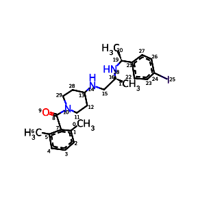 Cc1cccc(C)c1C(=O)N1CCC(NC[C@H](C)N[C@@H](C)c2ccc(I)cc2)CC1